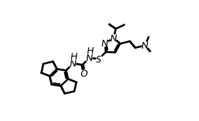 CC(C)n1nc(SNC(=O)Nc2c3c(cc4c2CCC4)CCC3)cc1CCN(C)C